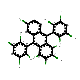 Fc1ccc2c(-c3c(F)c(F)cc(F)c3F)c3c(F)c(F)c(F)c(F)c3c(-c3c(F)c(F)cc(F)c3F)c2c1